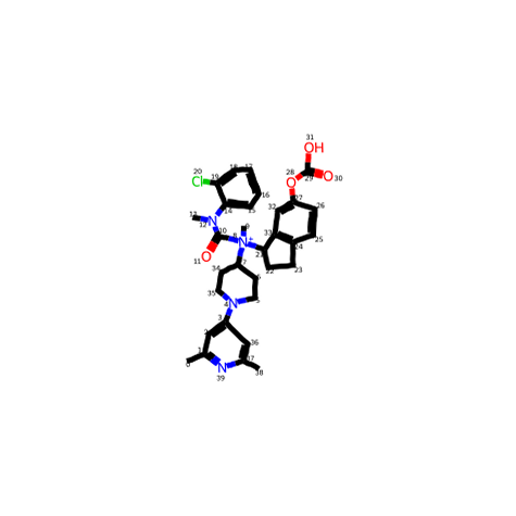 Cc1cc(N2CCC([N+](C)(C(=O)N(C)c3ccccc3Cl)C3CCc4ccc(OC(=O)O)cc43)CC2)cc(C)n1